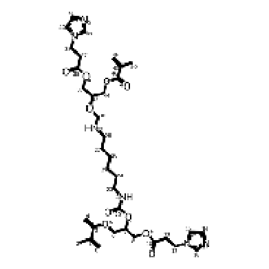 C=C(C)C(=C)OCC(COC(=O)CCn1ccnc1)OC(=O)NCCCCCCNCOC(COC(=O)CCn1ccnc1)COC(=O)C(=C)C